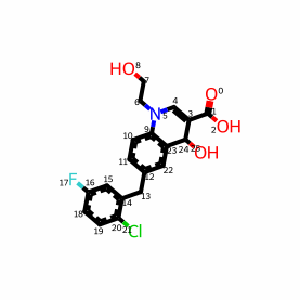 O=C(O)C1=CN(CCO)c2ccc(Cc3cc(F)ccc3Cl)cc2C1O